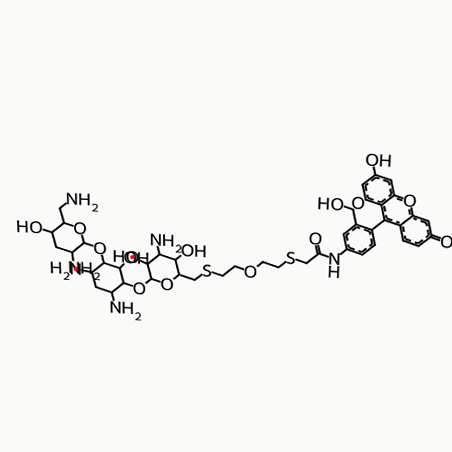 NCC1OC(OC2C(N)CC(N)C(OC3OC(CSCCOCCSCC(=O)Nc4ccc(-c5c6ccc(=O)cc-6oc6cc(O)ccc56)c(C(=O)O)c4)C(O)C(N)C3O)C2O)C(N)CC1O